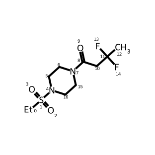 CCS(=O)(=O)N1CCN(C(=O)CC(C)(F)F)CC1